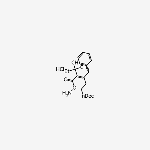 CCCCCCCCCCCCC(Cc1ccccc1)=C(C(=O)ON)C(C)(C)CC.Cl